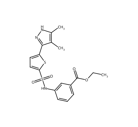 CCOC(=O)c1cccc(NS(=O)(=O)c2ccc(-c3n[nH]c(C)c3C)s2)c1